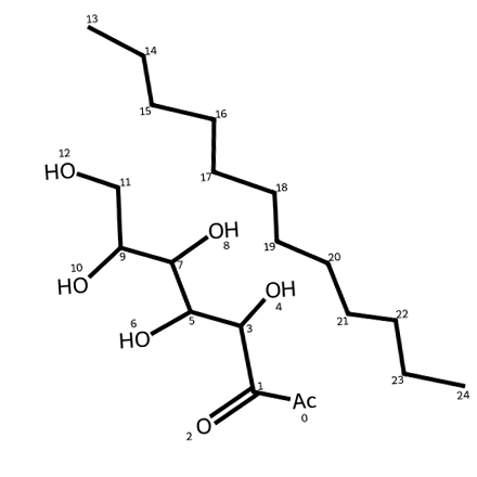 CC(=O)C(=O)C(O)C(O)C(O)C(O)CO.CCCCCCCCCCCC